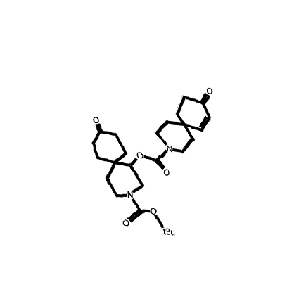 CC(C)(C)OC(=O)N1CCC2(CCC(=O)CC2)C(OC(=O)N2CCC3(C=CC(=O)CC3)CC2)C1